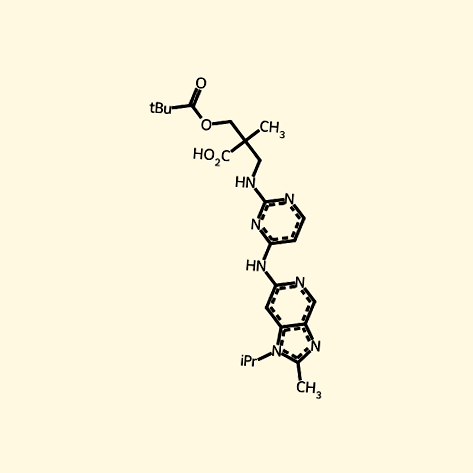 Cc1nc2cnc(Nc3ccnc(NCC(C)(COC(=O)C(C)(C)C)C(=O)O)n3)cc2n1C(C)C